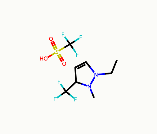 CCN1C=CC(C(F)(F)F)N1C.O=S(=O)(O)C(F)(F)F